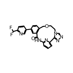 O=C1Nc2cccc(n2)-c2nncn2CCOCc2ccc(-c3ccc(C(F)F)nc3)cc21